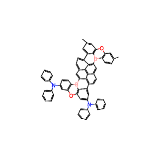 Cc1ccc2c(c1)Oc1cc(C)cc3c1B2c1cc2ccc4c5c(cc6ccc-3c1c6c25)B1c2ccc(N(c3ccccc3)c3ccccc3)cc2Oc2cc(N(c3ccccc3)c3ccccc3)cc-4c21